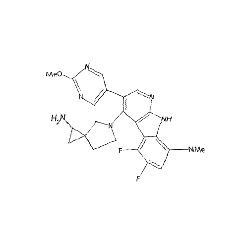 CNc1cc(F)c(F)c2c1[nH]c1ncc(-c3cnc(OC)nc3)c(N3CCC4(CC4N)C3)c12